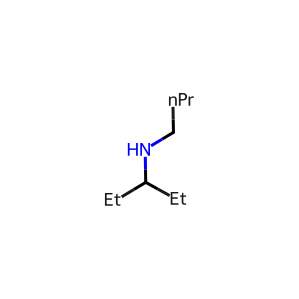 [CH2-][CH+]CCNC(CC)CC